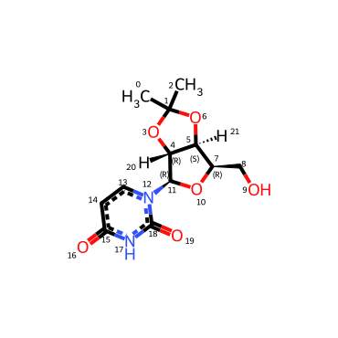 CC1(C)O[C@@H]2[C@@H](O1)[C@@H](CO)O[C@H]2n1ccc(=O)[nH]c1=O